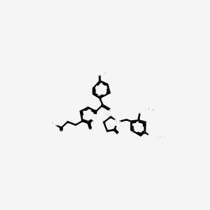 COc1ccc(CN2C(=O)CC[C@@H]2/C=C(/c2ccc(C(C)(C)C)cc2)c2ccc(CCC(N)=O)c(=O)[nH]2)c(OC)c1